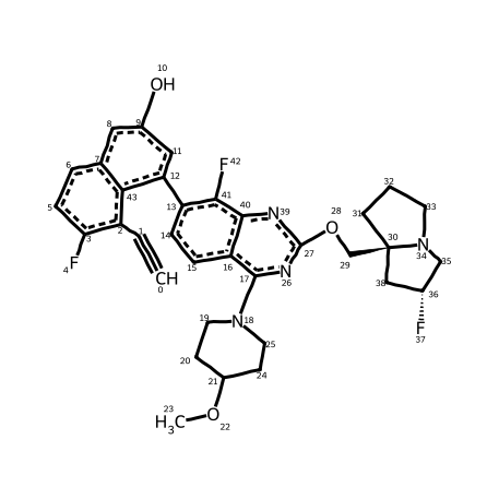 C#Cc1c(F)ccc2cc(O)cc(-c3ccc4c(N5CCC(OC)CC5)nc(OC[C@@]56CCCN5C[C@H](F)C6)nc4c3F)c12